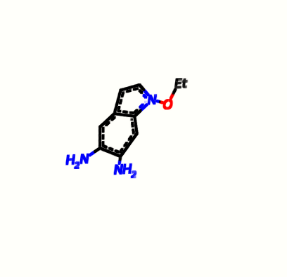 CCOn1ccc2cc(N)c(N)cc21